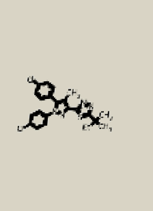 CCC(C)(C)c1nnc(-c2nn(-c3ccc(Cl)cc3)c(-c3ccc(Cl)cc3)c2C)s1